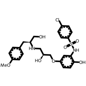 COc1ccc(C[C@@H](CO)NC[C@H](O)COc2ccc(O)c(NS(=O)(=O)c3ccc(Cl)cc3)c2)cc1